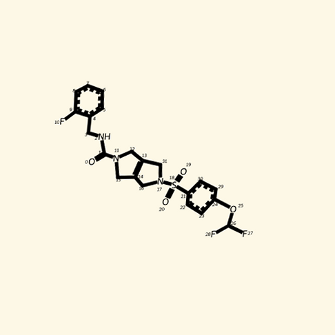 O=C(NCc1ccccc1F)N1CC2=C(C1)CN(S(=O)(=O)c1ccc(OC(F)F)cc1)C2